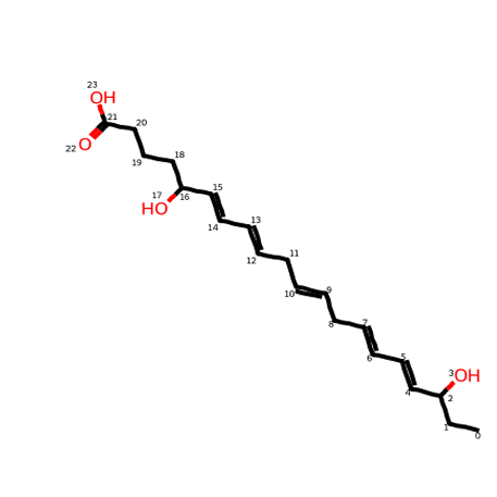 CCC(O)C=CC=CCC=CCC=CC=CC(O)CCCC(=O)O